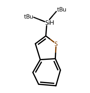 CC(C)(C)[SiH](c1cc2ccccc2s1)C(C)(C)C